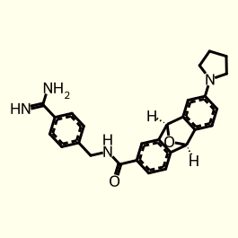 N=C(N)c1ccc(CNC(=O)c2ccc3c(c2)[C@@H]2O[C@H]3c3ccc(N4CCCC4)cc32)cc1